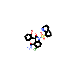 COc1ccccc1[C]1C(=O)N(S(=O)(=O)c2cccc3cccnc23)c2ccc(Cl)c(C(N)=O)c21